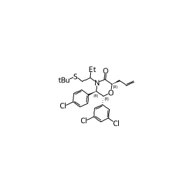 C=CC[C@H]1O[C@H](c2cc(Cl)cc(Cl)c2)[C@@H](c2ccc(Cl)cc2)N(C(CC)CSC(C)(C)C)C1=O